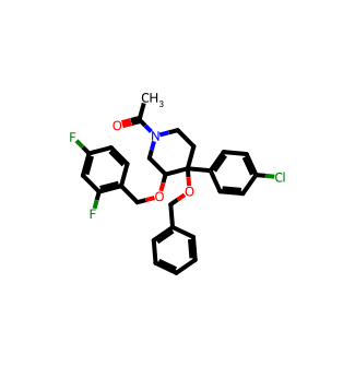 CC(=O)N1CCC(OCc2ccccc2)(c2ccc(Cl)cc2)C(OCc2ccc(F)cc2F)C1